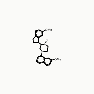 CCN1CCN(c2cccc3ccc(OC)cc23)CC1C1CCc2ccc(OC)cc21